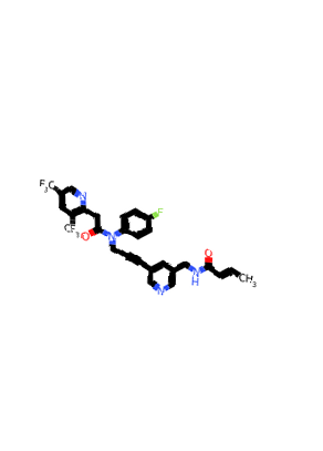 CC=CC(=O)NCc1cncc(C#CCN(C(=O)Cc2ncc(C(F)(F)F)cc2C(F)(F)F)c2ccc(F)cc2)c1